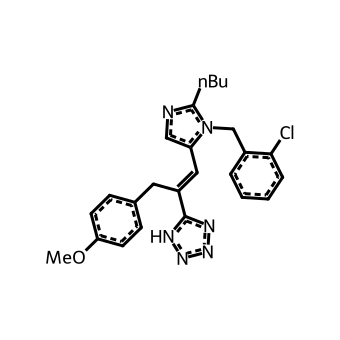 CCCCc1ncc(/C=C(\Cc2ccc(OC)cc2)c2nnn[nH]2)n1Cc1ccccc1Cl